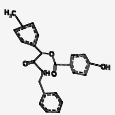 Cc1ccc(C(OC(=O)c2ccc(O)cc2)C(=O)NCc2ccccc2)cc1